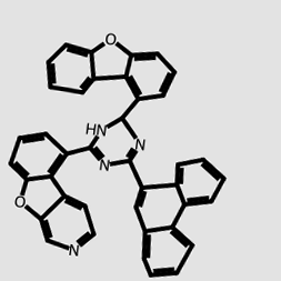 c1ccc2c(c1)cc(C1=NC(c3cccc4oc5ccccc5c34)NC(c3cccc4oc5cnccc5c34)=N1)c1ccccc12